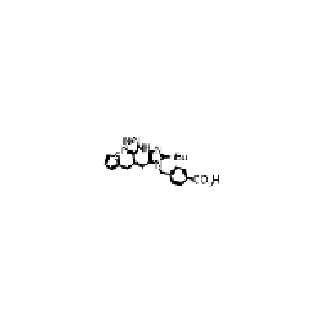 CCCCc1ncc(C=C(Cc2cccs2)c2nnn[nH]2)n1Cc1ccc(C(=O)O)cc1